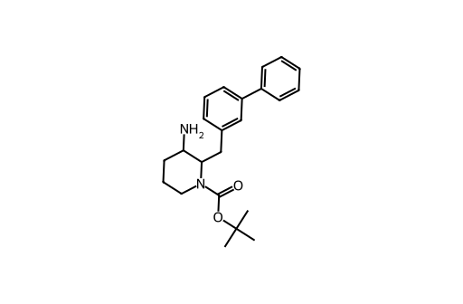 CC(C)(C)OC(=O)N1CCCC(N)C1Cc1cccc(-c2ccccc2)c1